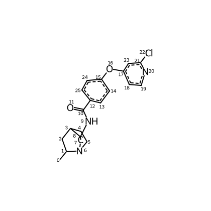 CC1CC2CCN1CC2NC(=O)c1ccc(Oc2ccnc(Cl)c2)cc1